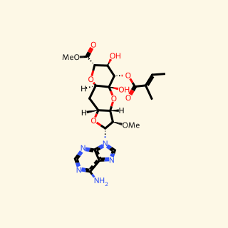 C/C=C(\C)C(=O)O[C@H]1[C@H](O)[C@@H](C(=O)OC)O[C@@H]2C[C@H]3O[C@@H](n4cnc5c(N)ncnc54)[C@H](OC)[C@H]3O[C@]21O